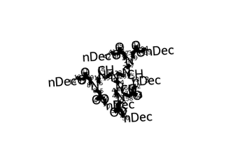 CCCCCCCCCCCOC(=O)CCN(CCC(=O)OCCCCCCCCCCC)CCN(C)CCN(CCN(C)CCN(CCC(=O)OCCCCCCCCCCC)CCC(=O)OCCCCCCCCCCC)CCN(C)CCN(CCC(=O)OCCCCCCCCCCC)CCC(=O)OCCCCCCCCCCC